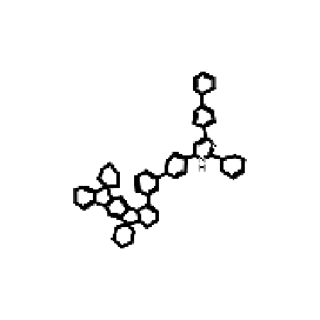 C1=CCC(c2ccc(C3=CC(C4=CCC(c5cccc(C6=CCCC7C6c6cc8c(cc6C76CCCCC6)C6=CCCC=C6C86CCCCC6)c5)C=C4)NC(C4CC=CCC4)=N3)cc2)C=C1